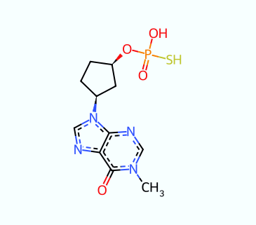 Cn1cnc2c(ncn2[C@H]2CC[C@@H](OP(=O)(O)S)C2)c1=O